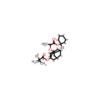 CCC1(OC(=O)C(C)OC23CC4CC(CC(OC(=O)C(C)(C)CC)(C4)C2)C3)CCCCC1